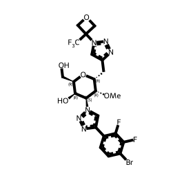 CO[C@@H]1[C@@H](n2cc(-c3ccc(Br)c(F)c3F)nn2)[C@@H](O)[C@@H](CO)O[C@@H]1Cc1cn(C2(C(F)(F)F)COC2)nn1